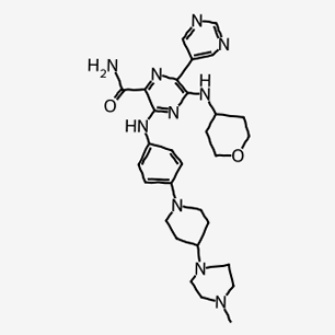 CN1CCN(C2CCN(c3ccc(Nc4nc(NC5CCOCC5)c(-c5cncnc5)nc4C(N)=O)cc3)CC2)CC1